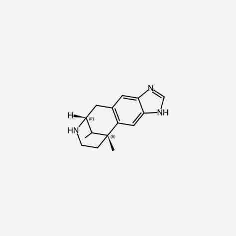 CC1[C@H]2Cc3cc4nc[nH]c4cc3[C@]1(C)CCN2